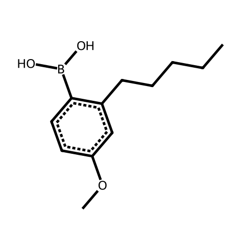 CCCCCc1cc(OC)ccc1B(O)O